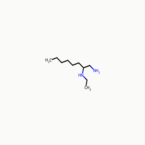 CCCCCCC(CN)NCC